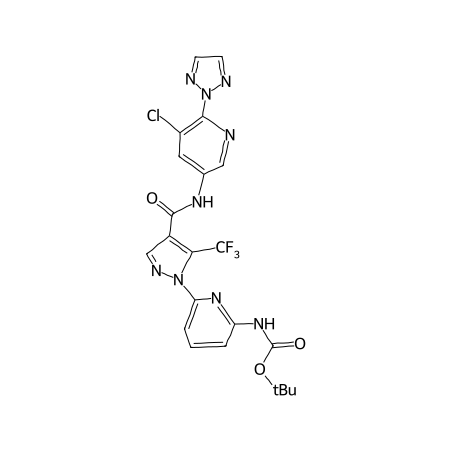 CC(C)(C)OC(=O)Nc1cccc(-n2ncc(C(=O)Nc3cnc(-n4nccn4)c(Cl)c3)c2C(F)(F)F)n1